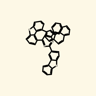 c1ccc(-c2cc(-c3cccc4oc5cccc(-c6ccc7ccc8ccccc8c7c6)c5c34)nc(-c3ccc4oc5ccccc5c4c3)n2)cc1